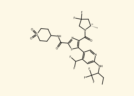 CCC(Nc1cc(C(F)F)c(-c2sc(C(=O)NC3CCS(=O)(=O)CC3)nc2C(=O)N2CC(F)(F)C[C@@H]2C)cn1)C(F)(F)F